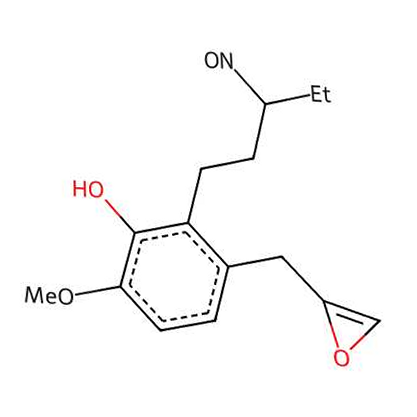 CCC(CCc1c(CC2=CO2)ccc(OC)c1O)N=O